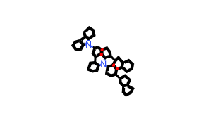 c1cc(-c2ccccc2N(c2ccc(-c3ccc4ccccc4c3)cc2)c2ccccc2-c2ccc3ccccc3c2)cc(-n2c3ccccc3c3ccccc32)c1